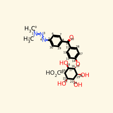 CN(C)/N=N/c1ccc(C(=O)c2ccc(O[C@H]3C(O)[C@@H](C(=O)O)[C@H](O)[C@@H](O)[C@@H]3O)cc2)cc1